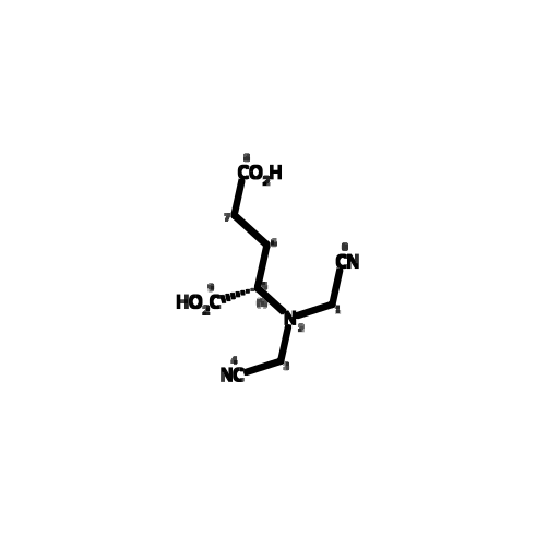 N#CCN(CC#N)[C@@H](CCC(=O)O)C(=O)O